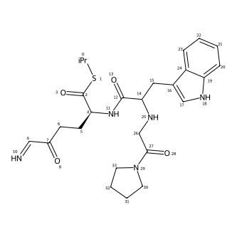 CC(C)SC(=O)[C@H](CCC(=O)C=N)NC(=O)C(Cc1c[nH]c2ccccc12)NCC(=O)N1CCCC1